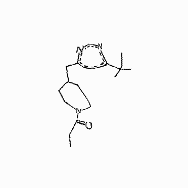 CCC(=O)N1CCC(Cc2cc(C(C)(C)C)ncn2)CC1